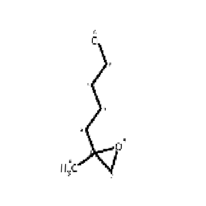 CC1(CCCCCl)CO1